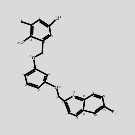 Cc1cc(Cl)cc(COc2cccc(OCc3ccc4cc(F)ccc4n3)c2)c1[O]